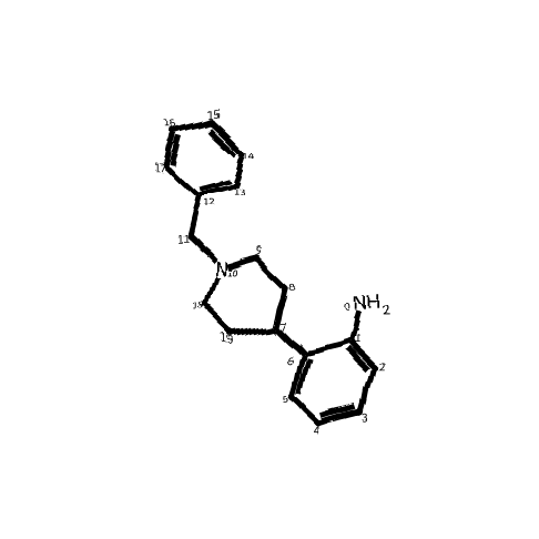 Nc1ccccc1C1CCN(Cc2ccccc2)CC1